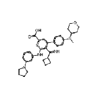 CN(c1ccc(-c2cc(C(=O)O)nc(Nc3cccc(N4CCCC4)c3)c2C(=N)C2CCC2)cc1)C1CCOCC1